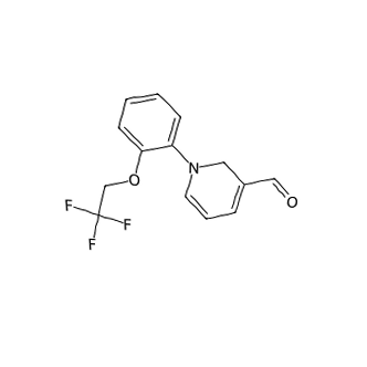 O=CC1=CC=CN(c2ccccc2OCC(F)(F)F)C1